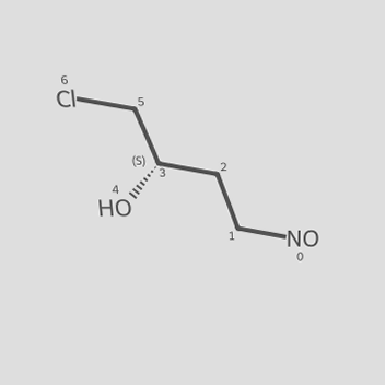 O=NCC[C@H](O)CCl